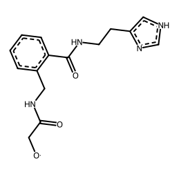 [O]CC(=O)NCc1ccccc1C(=O)NCCc1c[nH]cn1